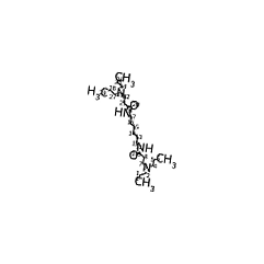 CCCN(CCC)CCC(=O)NCCCCCCNC(=O)CCN(CCC)CCC